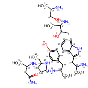 CC(O)C(N)C(=O)O.NC(=O)CC(N)C(=O)O.NC(CO)C(=O)O.NC(Cc1c[nH]c2ccccc12)C(=O)O.NC(Cc1ccc(O)cc1)C(=O)O.O=C(O)[C@@H]1CCCN1